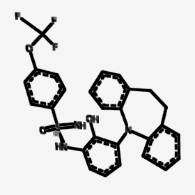 N=[S@@](=O)(Nc1cccc(N2c3ccccc3CCc3ccccc32)c1O)c1ccc(OC(F)(F)F)cc1